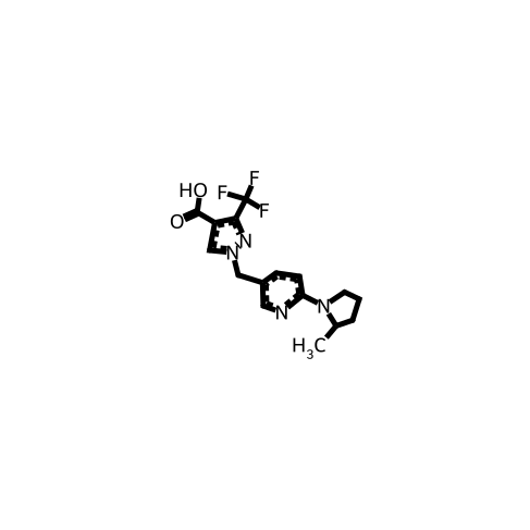 CC1CCCN1c1ccc(Cn2cc(C(=O)O)c(C(F)(F)F)n2)cn1